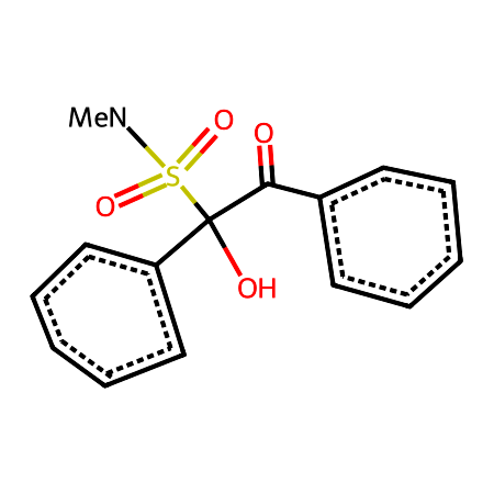 CNS(=O)(=O)C(O)(C(=O)c1ccccc1)c1ccccc1